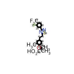 Cc1cc(CCc2nc(-c3ccc(C(F)(F)F)c(F)c3)ns2)ccc1OC(C)(C)C(=O)O